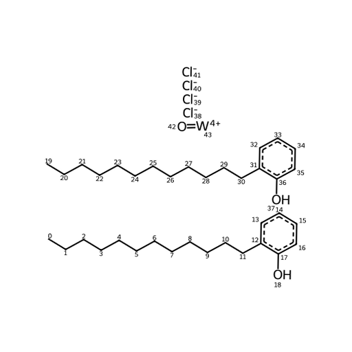 CCCCCCCCCCCCc1ccccc1O.CCCCCCCCCCCCc1ccccc1O.[Cl-].[Cl-].[Cl-].[Cl-].[O]=[W+4]